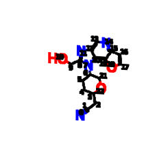 N#CC[C@H]1CC[C@H](n2c(CO)nc3cnc4ccoc4c32)CO1